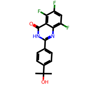 CC(C)(O)c1ccc(-c2nc3c(F)cc(F)c(F)c3c(=O)[nH]2)cc1